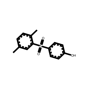 Cc1ccc(C)c(S(=O)(=O)c2ccc(O)cc2)c1